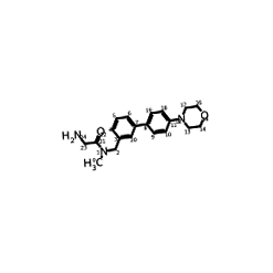 CN(Cc1cccc(-c2ccc(N3CCOCC3)cc2)c1)C(=O)CN